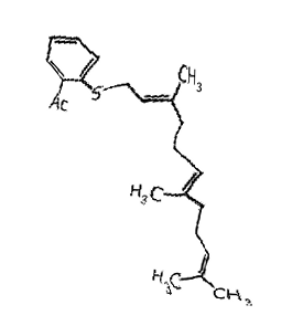 CC(=O)c1ccccc1SC/C=C(\C)CC/C=C(\C)CCC=C(C)C